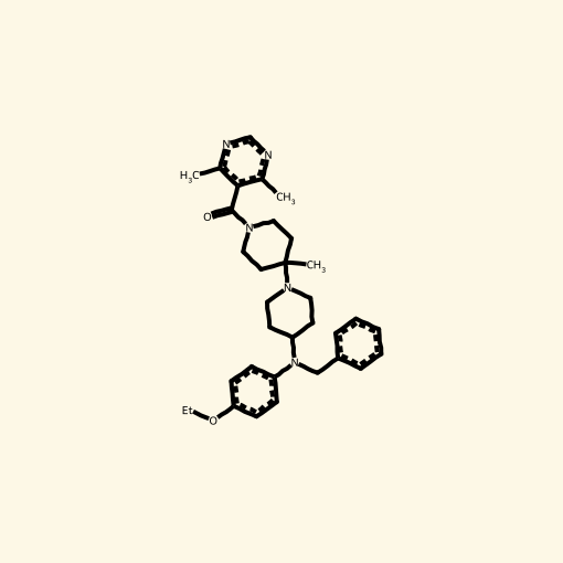 CCOc1ccc(N(Cc2ccccc2)C2CCN(C3(C)CCN(C(=O)c4c(C)ncnc4C)CC3)CC2)cc1